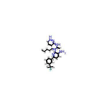 C=C(NC1=NNCC=C1)N(CCCCC)c1nc(-c2cccc(C(C)(C)F)c2)ccc1N